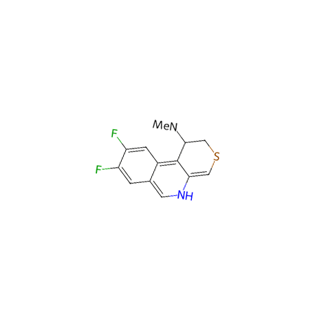 CNC1CSC=C2NC=c3cc(F)c(F)cc3=C21